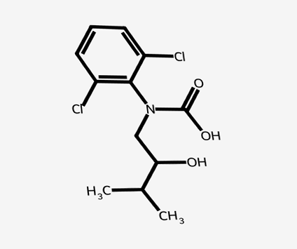 CC(C)C(O)CN(C(=O)O)c1c(Cl)cccc1Cl